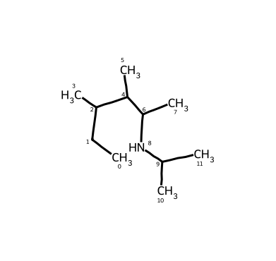 CCC(C)C(C)C(C)NC(C)C